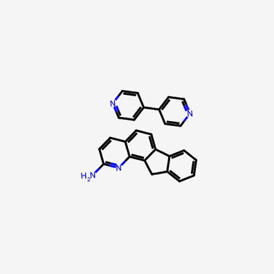 Nc1ccc2ccc3c(c2n1)Cc1ccccc1-3.c1cc(-c2ccncc2)ccn1